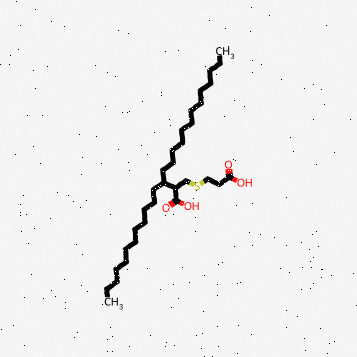 CCCCCCCCCCCCCC(CCCCCCCCCCCC)C(CSCCC(=O)O)C(=O)O